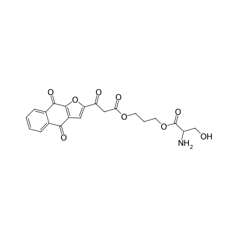 NC(CO)C(=O)OCCCOC(=O)CC(=O)c1cc2c(o1)C(=O)c1ccccc1C2=O